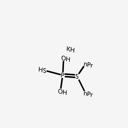 CCCS(CCC)=P(O)(O)S.[KH]